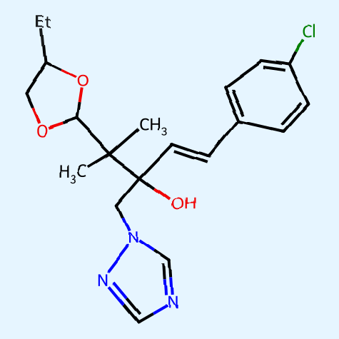 CCC1COC(C(C)(C)C(O)(C=Cc2ccc(Cl)cc2)Cn2cncn2)O1